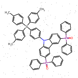 Cc1ccc([Si](c2ccc(C)cc2)(c2ccc(C)cc2)c2ccc(-n3c4ccc(P(=O)(c5ccccc5)c5ccccc5)cc4c4cc(P(=O)(c5ccccc5)c5ccccc5)ccc43)cc2)cc1